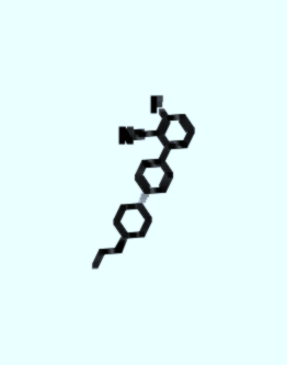 CCC[C@H]1CC[C@H](c2ccc(-c3cccc(F)c3C#N)cc2)CC1